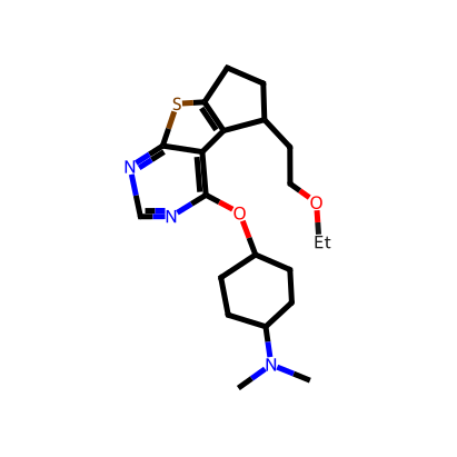 CCOCCC1CCc2sc3ncnc(OC4CCC(N(C)C)CC4)c3c21